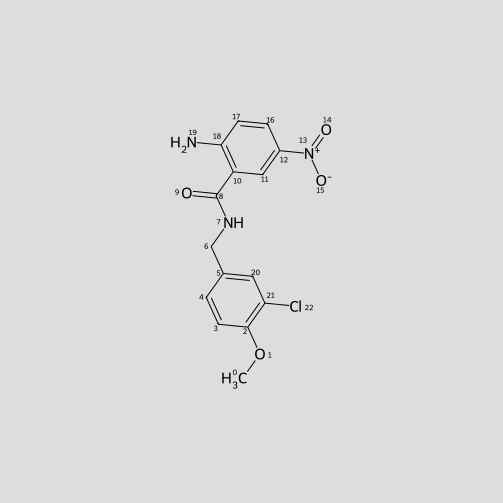 COc1ccc(CNC(=O)c2cc([N+](=O)[O-])ccc2N)cc1Cl